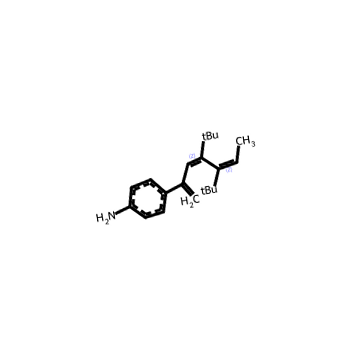 C=C(/C=C(\C(=C/C)C(C)(C)C)C(C)(C)C)c1ccc(N)cc1